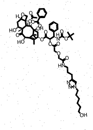 CC(=O)O[C@@]12CO[C@@H]1C[C@H](O)[C@@]1(C)C(=O)[C@H](O)C3=C(C)[C@@H](OC(=O)[C@H](OC(=O)COCC(=O)NCCCc4cn(CCCCCCO)nn4)[C@@H](NC(=O)OC(C)(C)C)c4ccccc4)C[C@@](O)([C@@H](OC(=O)c4ccccc4)[C@H]21)C3(C)C